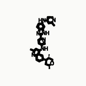 Cc1cc(Nc2ccc3nc(-c4ccc(Nc5cc(C)nc6ccc(C7C[C@H](C)OC[C@H]7C)cc56)cn4)[nH]c3c2)ccn1